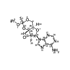 CC(C)OP1(=S)OC[C@H]2O[C@@H](n3cnc4c(N)ncnc43)[C@@](F)(Cl)[C@@H]2O1